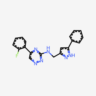 Fc1ccccc1-c1cnnc(NCc2cc(-c3ccccc3)[nH]n2)n1